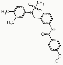 COc1ccc(C(=O)Nc2cccc(CN(c3ccc(C)c(C)c3)S(C)(=O)=O)c2)cc1